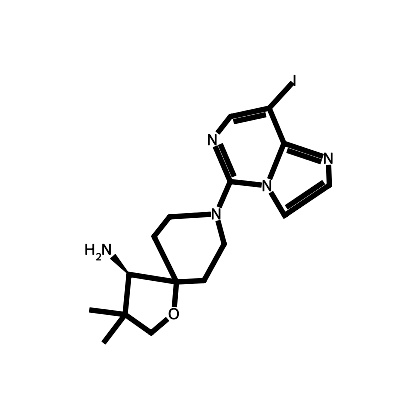 CC1(C)COC2(CCN(c3ncc(I)c4nccn34)CC2)[C@@H]1N